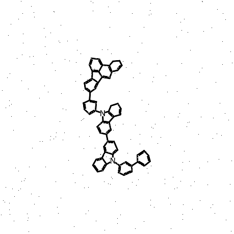 C1=Cc2cc3c4c(cccc4c2CC1)-c1ccc(-c2cccc(-n4c5c(c6cc(-c7ccc8c(c7)c7ccccc7n8-c7cccc(-c8ccccc8)c7)ccc64)C=CCC5)c2)cc1-3